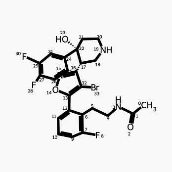 CC(=O)NCCc1c(F)cccc1-c1onc([C@H]2CNCC[C@]2(O)c2ccc(F)c(F)c2)c1Br